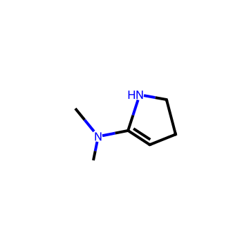 CN(C)C1=CCCN1